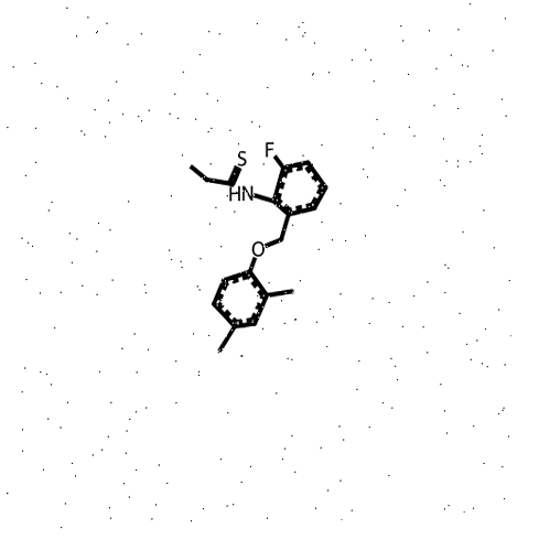 CCC(=S)Nc1c(F)cccc1COc1ccc(C)cc1C